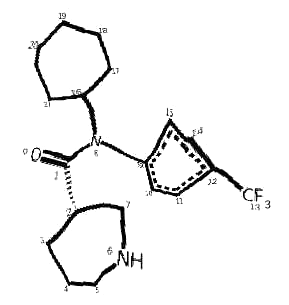 O=C([C@H]1CCCNC1)N(c1ccc(C(F)(F)F)cc1)C1CCCCC1